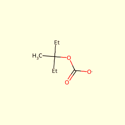 CCC(C)(CC)OC([O])=O